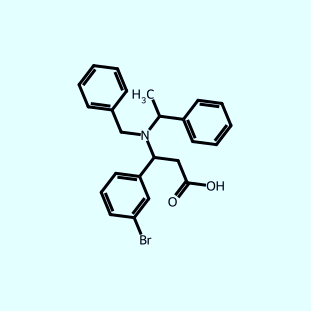 CC(c1ccccc1)N(Cc1ccccc1)C(CC(=O)O)c1cccc(Br)c1